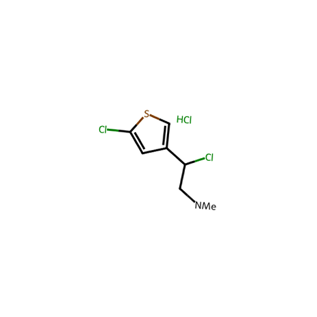 CNCC(Cl)c1csc(Cl)c1.Cl